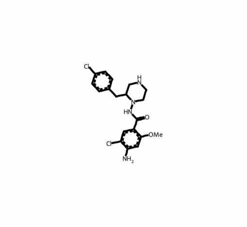 COc1cc(N)c(Cl)cc1C(=O)NN1CCNCC1Cc1ccc(Cl)cc1